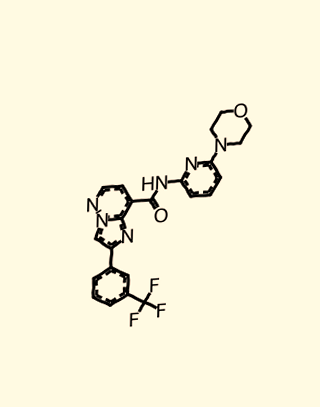 O=C(Nc1cccc(N2CCOCC2)n1)c1ccnn2cc(-c3cccc(C(F)(F)F)c3)nc12